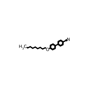 CCCCCCCCCOc1ccc(-c2ccc(C#N)cc2)cc1